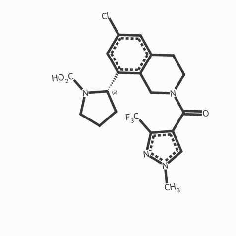 Cn1cc(C(=O)N2CCc3cc(Cl)cc([C@@H]4CCCN4C(=O)O)c3C2)c(C(F)(F)F)n1